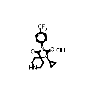 Cl.O=C1N(c2ccc(C(F)(F)F)cc2)C(=O)C2(CCNCC2)N1C1CC1